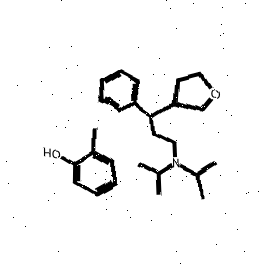 CC(C)N(CCC(c1ccccc1)C1CCOC1)C(C)C.Cc1ccccc1O